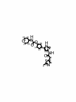 Cc1ncc(CC(=O)Nc2cc([C@@H]3CC[C@H](OC(=O)NC4CCOCC4)C3)[nH]n2)s1